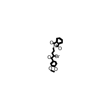 O=C(c1ccc2c(c1)OCCO2)C(Br)CCCN1C(=O)c2ccccc2C1=O